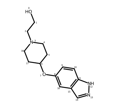 OCCN1CCC(Oc2ccc3[nH]ncc3c2)CC1